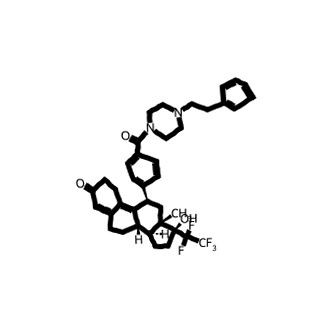 C[C@]12C[C@H](c3ccc(C(=O)N4CCN(CCc5ccccc5)CC4)cc3)C3=C4CCC(=O)C=C4CC[C@H]3[C@@H]1CC[C@@]2(O)C(F)(F)C(F)(F)F